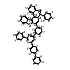 c1ccc(-c2ccc(-c3cc(-c4cccc(-c5cc6c(-c7ccccc7)nc7ccccc7c6c6c5sc5ccccc56)c4)nc(-c4ccccc4)n3)cc2)cc1